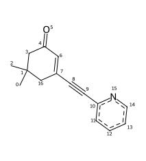 CC1(C)CC(=O)C=C(C#Cc2ccccn2)C1